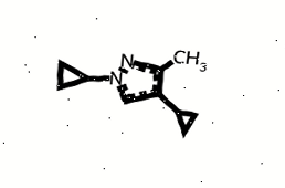 Cc1nn(C2CC2)cc1C1CC1